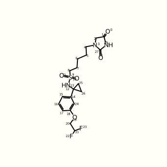 O=C1CN(CCCCCS(=O)(=O)NC2(c3cccc(OCC(F)F)c3)CC2)C(=O)N1